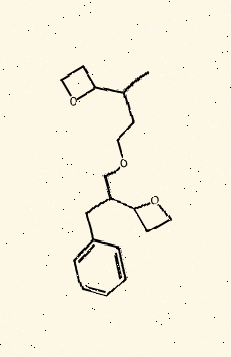 CC(CCOCC(Cc1ccccc1)C1CCO1)C1CCO1